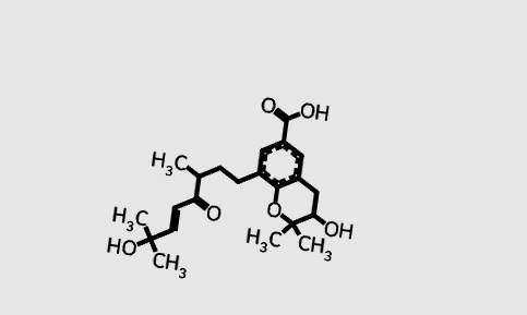 CC(CCc1cc(C(=O)O)cc2c1OC(C)(C)C(O)C2)C(=O)/C=C/C(C)(C)O